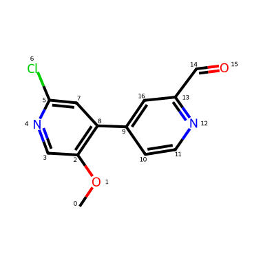 COc1cnc(Cl)cc1-c1ccnc(C=O)c1